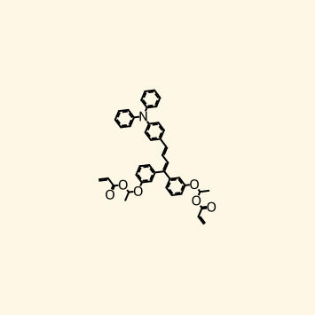 C=CC(=O)OC(C)Oc1cccc(C(=CC=Cc2ccc(N(c3ccccc3)c3ccccc3)cc2)c2cccc(OC(C)OC(=O)C=C)c2)c1